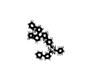 c1ccc(-c2cccc(-c3nc(-c4ccccc4)nc(-c4ccc5c(c4)sc4c(-c6ccccc6-c6cccc7c8ccccc8n(-c8ccccc8)c67)cccc45)n3)c2)cc1